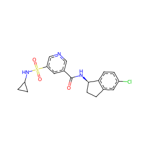 O=C(N[C@@H]1CCc2cc(Cl)ccc21)c1cncc(S(=O)(=O)NC2CC2)c1